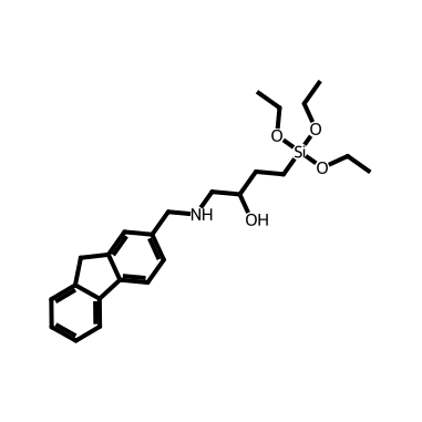 CCO[Si](CCC(O)CNCc1ccc2c(c1)Cc1ccccc1-2)(OCC)OCC